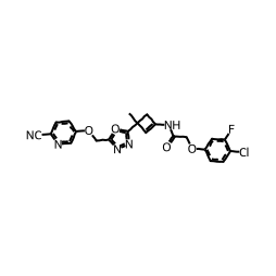 CC1(c2nnc(COc3ccc(C#N)nc3)o2)C=C(NC(=O)COc2ccc(Cl)c(F)c2)C1